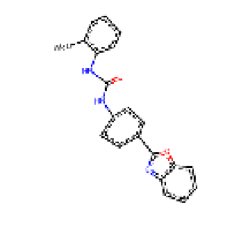 COc1ccccc1NC(=O)Nc1ccc(-c2nc3ccccc3o2)cc1